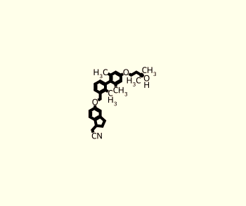 Cc1cc(OCCC(C)(C)O)cc(C)c1-c1cccc(COc2ccc3c(c2)CCC3CC#N)c1C